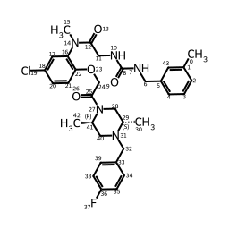 Cc1cccc(CNC(=O)NCC(=O)N(C)c2cc(Cl)ccc2OCC(=O)N2C[C@H](C)N(Cc3ccc(F)cc3)C[C@H]2C)c1